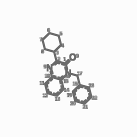 O=c1c(C2CCCCC2)nc2ccccc2n1Cc1ccccc1